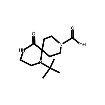 CC(C)(C)N1CCNC(=O)C12CCN(C(=O)O)CC2